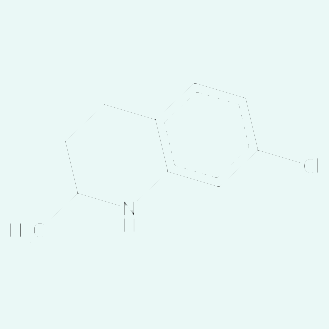 CC1CCc2ccc(Cl)cc2N1